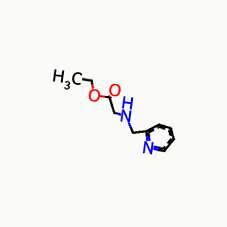 CCOC(=O)CNCc1ccccn1